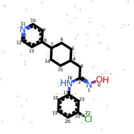 O/N=C(\CC1CCC(c2ccncc2)CC1)Nc1cccc(Cl)c1